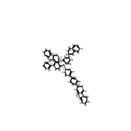 c1ccc(-n2c3ccccc3c3ccccc32)c(-c2ccc(N(c3ccc(-c4ccc(-c5ccc6c(c5)oc5ccccc56)cc4)cc3)c3ccc(-c4ccc5ccccc5c4)cc3)cc2)c1